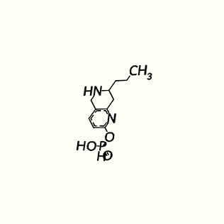 CCCC1Cc2nc(O[PH](=O)O)ccc2CN1